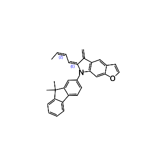 C=c1/c(=C\C=C/C)n(-c2ccc3c(c2)C(C)(C)c2ccccc2-3)c2cc3occc3cc12